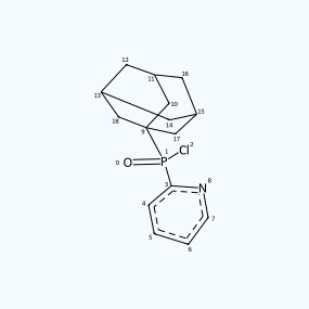 O=P(Cl)(c1ccccn1)C12CC3CC(CC(C3)C1)C2